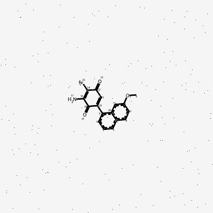 COc1ccc2cccc(C3=CC(=O)C(Br)=C(N)C3=O)c2c1